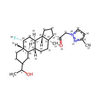 CC(O)C1CC[C@H]2[C@H](C1)[C@H]1CC[C@]3(C)[C@@H](C(=O)Cn4ccc(C#N)n4)CC[C@H]3[C@@H]1C[C@H]2F